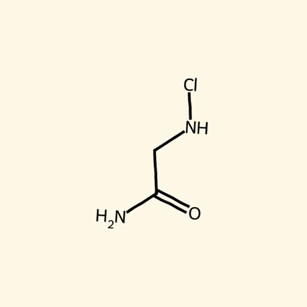 NC(=O)CNCl